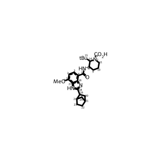 COc1ccc(C(=O)N[C@H]2CCCN(C(=O)O)C2C(C)(C)C)c2nc(C3CC4CCC3C4)[nH]c12